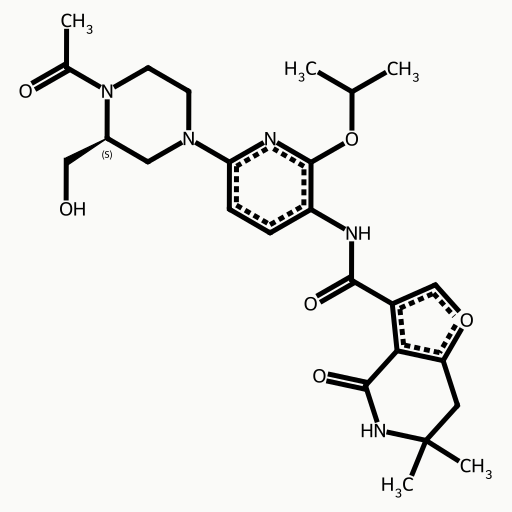 CC(=O)N1CCN(c2ccc(NC(=O)c3coc4c3C(=O)NC(C)(C)C4)c(OC(C)C)n2)C[C@H]1CO